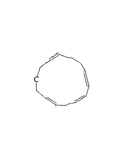 [C]1=CCCCC=CCCC=CC=CC1